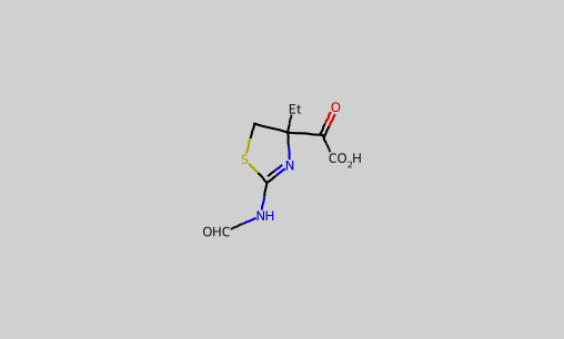 CCC1(C(=O)C(=O)O)CSC(NC=O)=N1